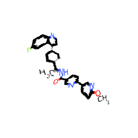 COc1ccc(-c2ccc(C(=O)N[C@H](C)[C@H]3CC[C@@H](c4ccnc5ccc(F)cc54)CC3)cn2)cn1